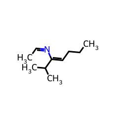 C/C=N\C(=C/CCC)C(C)C